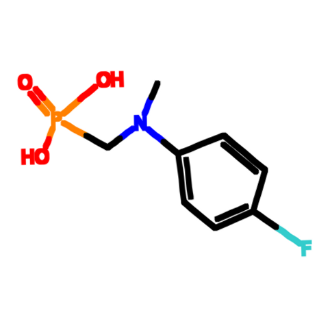 CN(CP(=O)(O)O)c1ccc(F)cc1